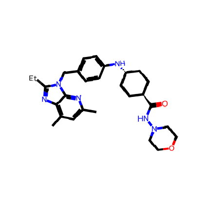 CCc1nc2c(C)cc(C)nc2n1Cc1ccc(N[C@H]2CC[C@H](C(=O)NN3CCOCC3)CC2)cc1